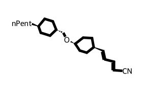 CCCCC[C@H]1CC[C@H](CO[C@H]2CC[C@H](C=CC=CC#N)CC2)CC1